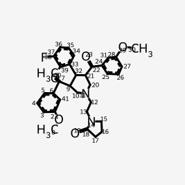 COc1cccc(C(=O)C2CN(CCN3CCCC3=O)CC(C(=O)c3cccc(OC)c3)C2c2cccc(F)c2C)c1